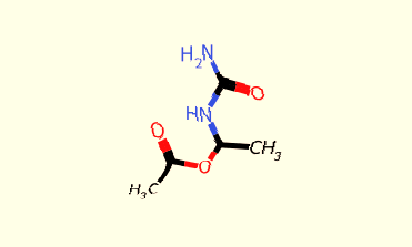 CC(=O)OC(C)NC(N)=O